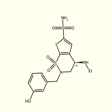 CCN[C@H]1CN(Cc2cccc(O)c2)S(=O)(=O)c2sc(S(N)(=O)=O)cc21